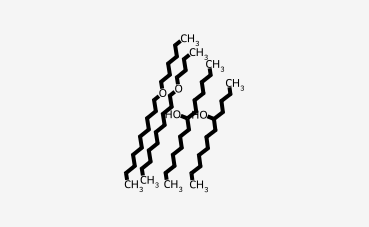 CCCCCCCC(O)CCCC.CCCCCCCC(O)CCCCCC.CCCCCCCCCCOCCCC.CCCCCCCCCCOCCCCCC